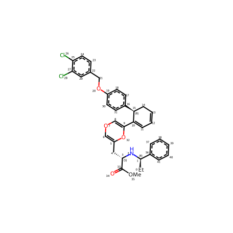 CC[C@@H](N[C@@H](CC1=COC=C(C2=CC=CC[C@@H]2c2ccc(OCc3ccc(Cl)c(Cl)c3)cc2)O1)C(=O)OC)c1ccccc1